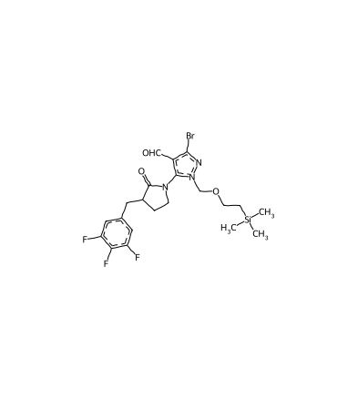 C[Si](C)(C)CCOCn1nc(Br)c(C=O)c1N1CCC(Cc2cc(F)c(F)c(F)c2)C1=O